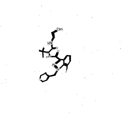 CC(C)(C)[C@H](NC(=O)c1nn(CC2CCOCC2)c2c(F)cccc12)C(=O)NCCO